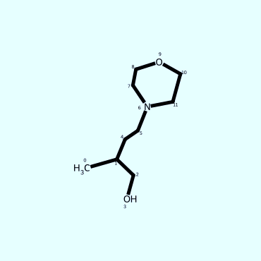 CC(CO)CCN1CCOCC1